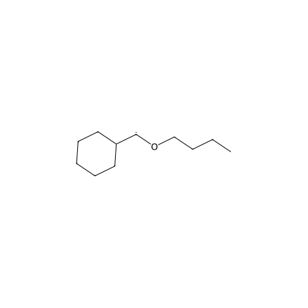 CCCCO[CH]C1CCCCC1